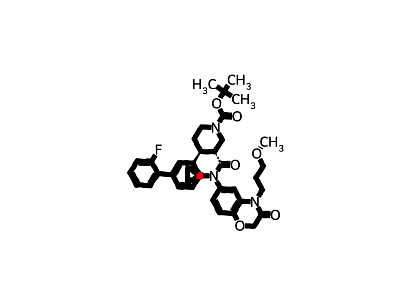 COCCCN1C(=O)COc2ccc(N(C(=O)[C@H]3CN(C(=O)OC(C)(C)C)CC[C@@H]3c3cccc(-c4ccccc4F)c3)C3CC3)cc21